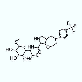 CSC1OC(C(NC(=O)C2NCC3CC(c4ccc(C(F)(F)F)cc4)CCOC32)C(C)Cl)C(O)C(O)C1O